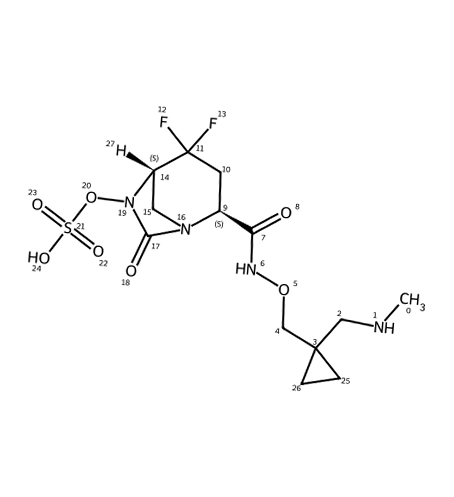 CNCC1(CONC(=O)[C@@H]2CC(F)(F)[C@@H]3CN2C(=O)N3OS(=O)(=O)O)CC1